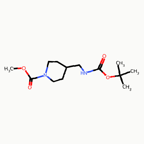 COC(=O)N1CCC(CNC(=O)OC(C)(C)C)CC1